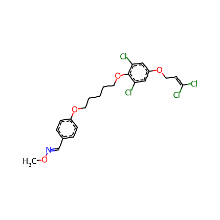 CON=Cc1ccc(OCCCCCOc2c(Cl)cc(OCC=C(Cl)Cl)cc2Cl)cc1